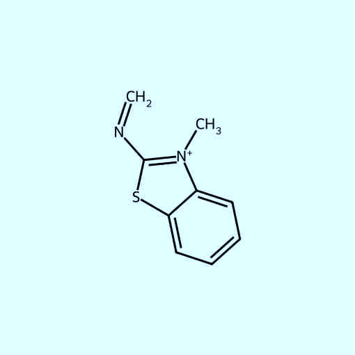 C=Nc1sc2ccccc2[n+]1C